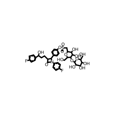 O=C1C(CCC(O)c2ccc(F)cc2)C(c2ccc(OS(=O)(=O)CC3OC(CO)C(OC4OC(CO)C(O)C(O)C4O)C(O)C3O)cc2)N1c1ccc(F)cc1